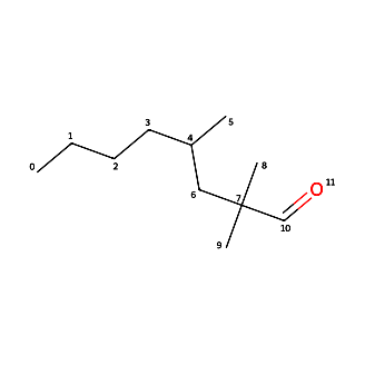 CCCCC(C)CC(C)(C)C=O